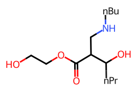 CCCCNCC(C(=O)OCCO)C(O)CCC